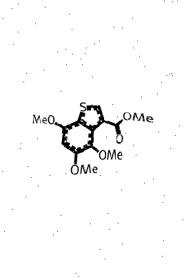 COC(=O)c1csc2c(OC)cc(OC)c(OC)c12